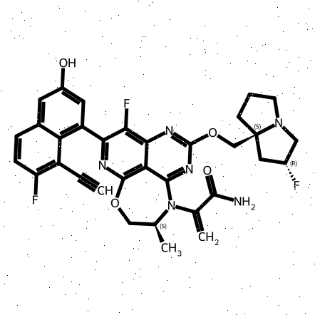 C#Cc1c(F)ccc2cc(O)cc(-c3nc4c5c(nc(OC[C@@]67CCCN6C[C@H](F)C7)nc5c3F)N(C(=C)C(N)=O)[C@@H](C)CO4)c12